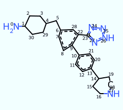 NC1CCC(Cc2ccc(-c3ccc(C4CCNCC4)cc3)c(-c3nn[nH]n3)c2)CC1